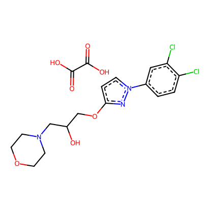 O=C(O)C(=O)O.OC(COc1ccn(-c2ccc(Cl)c(Cl)c2)n1)CN1CCOCC1